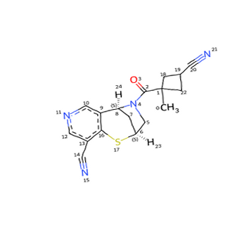 CC1(C(=O)N2C[C@@H]3C[C@H]2c2cncc(C#N)c2S3)CC(C#N)C1